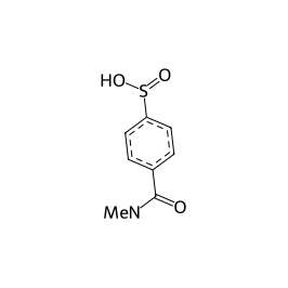 CNC(=O)c1ccc(S(=O)O)cc1